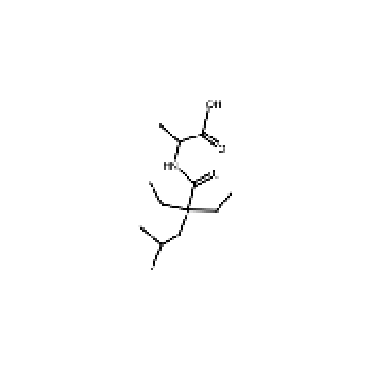 CCC(CC)(CC(C)C)C(=O)NC(C)C(=O)O